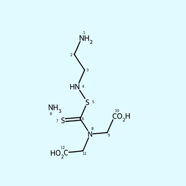 N.NCCNSC(=S)N(CC(=O)O)CC(=O)O